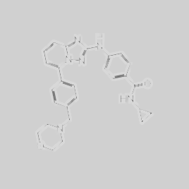 O=C(NC1CC1)c1ccc(Nc2nc3cccc(-c4ccc(CN5CCOCC5)cc4)n3n2)cc1